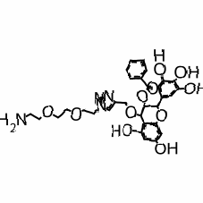 NCCOCCOCCn1cc(COC2c3c(O)cc(O)cc3OC(c3cc(O)c(O)c(O)c3)C2OC(=O)c2ccccc2)nn1